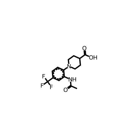 CC(=O)Nc1cc(C(F)(F)F)ccc1N1CCC(C(=O)O)CC1